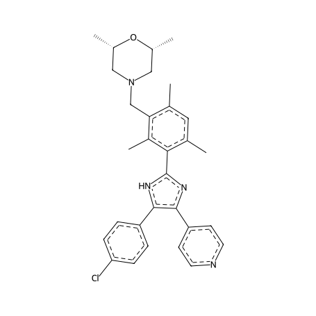 Cc1cc(C)c(-c2nc(-c3ccncc3)c(-c3ccc(Cl)cc3)[nH]2)c(C)c1CN1C[C@@H](C)O[C@@H](C)C1